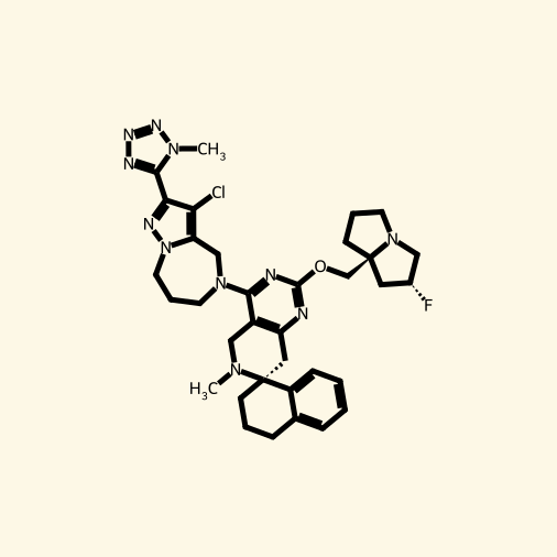 CN1Cc2c(nc(OC[C@@]34CCCN3C[C@H](F)C4)nc2N2CCCn3nc(-c4nnnn4C)c(Cl)c3C2)C[C@]12CCCc1ccccc12